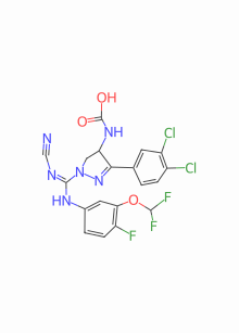 N#CN=C(Nc1ccc(F)c(OC(F)F)c1)N1CC(NC(=O)O)C(c2ccc(Cl)c(Cl)c2)=N1